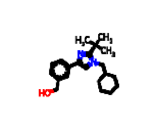 CC(C)(C)c1nc(-c2cccc(CO)c2)cn1CC1CCCCC1